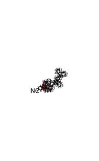 N#Cc1ccc2c(c1)c1ccccc1n2-c1cccc2c1C1(c3ccc(-n4c5ccccc5c5cc(-n6c7ccccc7c7ccccc76)ccc54)cc3O2)c2cccnc2-c2ncccc21